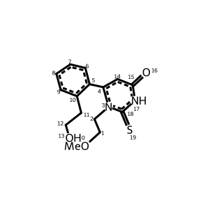 COCCn1c(-c2ccccc2CCO)cc(=O)[nH]c1=S